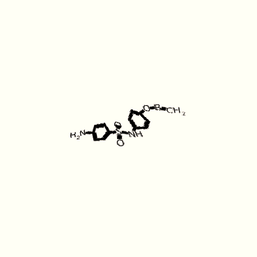 C=BOc1ccc(NS(=O)(=O)c2ccc(N)cc2)cc1